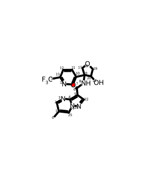 Cc1cnc2c(C(=O)NC3(c4ccc(C(F)(F)F)nc4)COCC3O)cnn2c1